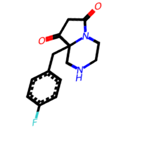 O=C1CC(=O)C2(Cc3ccc(F)cc3)CNCCN12